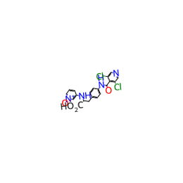 O=C(Nc1ccc(CC(Nc2ccc[n+]([O-])c2)C(=O)O)cc1)c1c(Cl)cncc1Cl